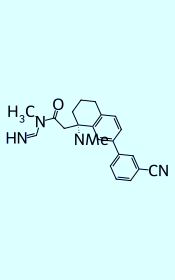 CN[C@]1(CC(=O)N(C)C=N)CCCc2ccc(-c3cccc(C#N)c3)cc21